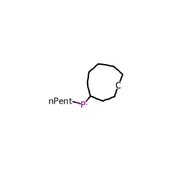 CCCCC[P]C1CCCCCCCC1